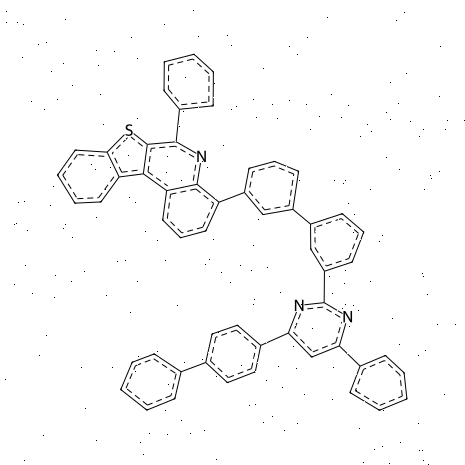 c1ccc(-c2ccc(-c3cc(-c4ccccc4)nc(-c4cccc(-c5cccc(-c6cccc7c6nc(-c6ccccc6)c6sc8ccccc8c67)c5)c4)n3)cc2)cc1